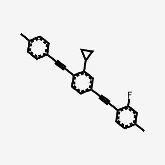 Cc1ccc(C#Cc2ccc(C#Cc3ccc(C)cc3F)cc2C2CC2)cc1